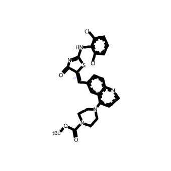 CC(C)(C)OC(=O)N1CCN(c2ccnc3ccc(/C=C4\SC(Nc5c(Cl)cccc5Cl)=NC4=O)cc23)CC1